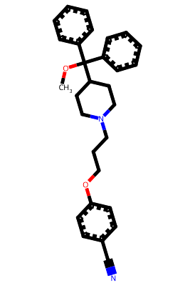 COC(c1ccccc1)(c1ccccc1)C1CCN(CCCOc2ccc(C#N)cc2)CC1